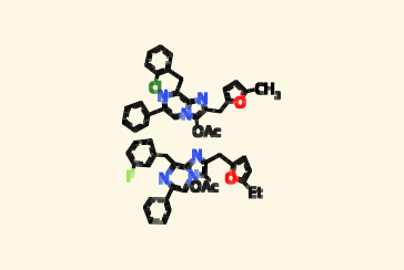 CC(=O)Oc1c(Cc2ccc(C)o2)nc2c(Cc3ccccc3Cl)nc(-c3ccccc3)cn12.CCc1ccc(Cc2nc3c(Cc4cccc(F)c4)nc(-c4ccccc4)cn3c2OC(C)=O)o1